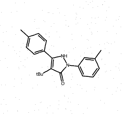 Cc1ccc(-c2[nH]n(-c3cccc(C)c3)c(=O)c2C(C)(C)C)cc1